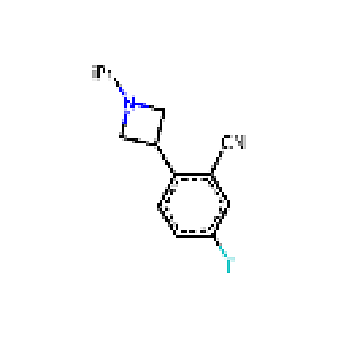 CC(C)N1CC(c2ccc(F)cc2C#N)C1